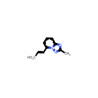 Cc1nc2cccc(/C=C/C(=O)O)n2n1